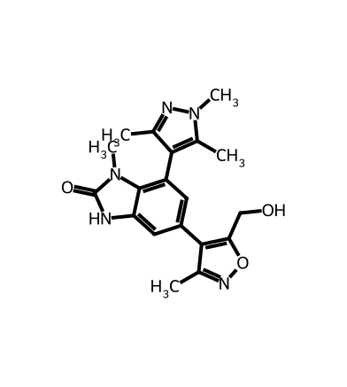 Cc1noc(CO)c1-c1cc(-c2c(C)nn(C)c2C)c2c(c1)[nH]c(=O)n2C